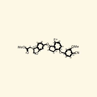 COC(=O)C[C@@H]1COc2cc(O[C@@H]3CCc4c(Oc5ccc(C#N)c(OC)c5)ccc(F)c43)ccc21